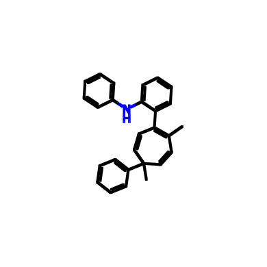 CC1=C(c2ccccc2Nc2ccccc2)C=CC(C)(c2ccccc2)C=C1